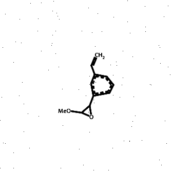 C=Cc1cccc(C2OC2OC)c1